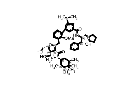 COc1c(CN2O[C@@H](CO)[C@@H]([C@H](C)O)[C@H]2C(=O)N[C@H]2C[C@@H](C)C(C)(C)[C@@H](C)[C@@H]2C)cccc1-c1cc(C(=O)N[C@H](CN2CCCC2)[C@H](O)c2ccccc2)cc(N(C)C)c1